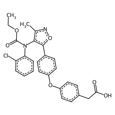 CCOC(=O)N(c1ccccc1Cl)c1c(C)noc1-c1ccc(Oc2ccc(CC(=O)O)cc2)cc1